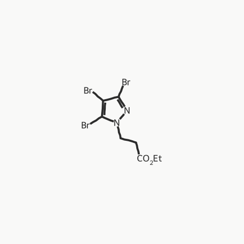 CCOC(=O)CCn1nc(Br)c(Br)c1Br